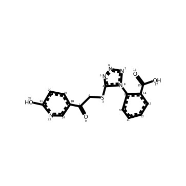 O=C(CSc1nnnn1-c1ccccc1C(=O)O)c1ccc(O)nc1